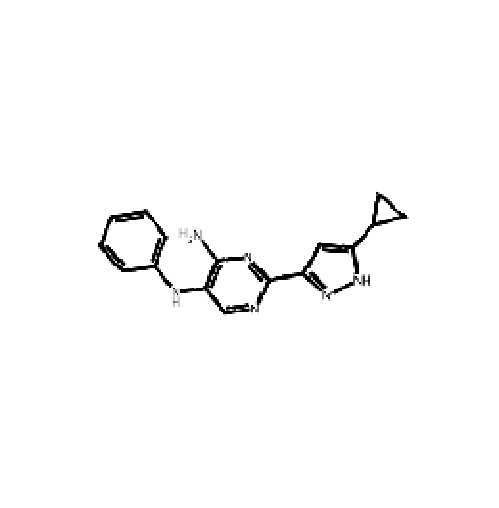 Nc1nc(-c2cc(C3CC3)[nH]n2)ncc1Nc1ccccc1